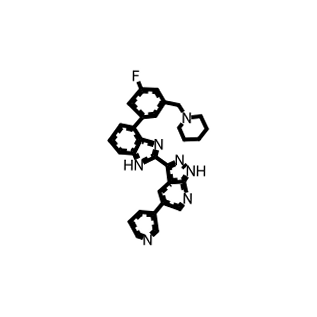 Fc1cc(CN2CCCCC2)cc(-c2cccc3[nH]c(-c4n[nH]c5ncc(-c6cccnc6)cc45)nc23)c1